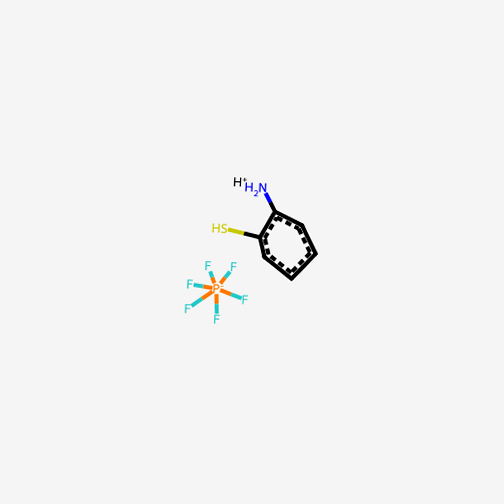 F[P-](F)(F)(F)(F)F.Nc1ccccc1S.[H+]